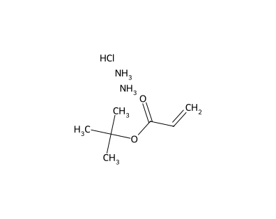 C=CC(=O)OC(C)(C)C.Cl.N.N